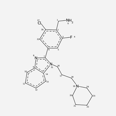 NCc1c(F)cc(-c2nc3ccccc3n2CCCN2CCCCC2)cc1Cl